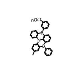 CCCCCCCCc1cccc(B2c3ccccc3N3c4ccc(C)cc4B(c4ccccc4)c4cccc2c43)c1